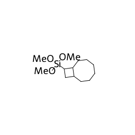 CO[Si](OC)(OC)C1CC2CCCCCCC21